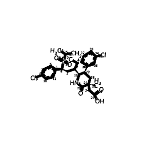 CCC(C[C@@H](c1ccc(Cl)cc1)S(=O)(=O)C(C)C)[C@@H]1NC(=O)[C@](C)(CC(=O)O)C[C@@H]1c1cccc(Cl)c1